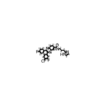 O=C(NCCCc1ncc[nH]1)c1ccc2nc(-c3ccc(F)cc3)c(-c3ccc(Cl)c(F)c3)nc2c1